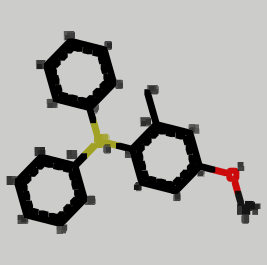 CCCOc1ccc([S+](c2ccccc2)c2ccccc2)c(C)c1